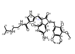 COc1cc(CN2C(=O)/C(=C/c3cc(C(=O)NCCNC(C)C)c[nH]3)c3c(Cl)nc(N)nc32)c(Cl)c(OC)c1OC